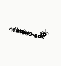 COc1cc(N2C[C@@H](C)N(C(=O)Nc3cnc(N4CCC(CCN5CCN(c6ccc7c(c6)C(=O)N(C6CCC(=O)NC6=O)C7=O)CC5)CC4)nc3)C[C@@H]2C)ccc1C#N